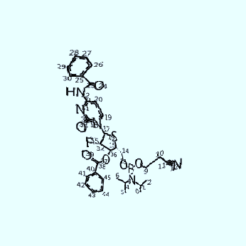 CC(C)N(C(C)C)P(OCCC#N)OC[C@H]1SC(n2ccc(NC(=O)c3ccccc3)nc2=O)[C@@H](F)[C@@H]1OC(=O)c1ccccc1